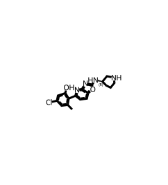 Cc1cc(Cl)cc(O)c1-c1ccc2oc(N[C@@H]3CCCNC3)nc2n1